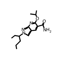 CCCC(CC)n1cc2cc(C(N)=O)c(OC(C)C)nc2n1